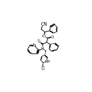 N#CCC(OC(=O)C(C(=O)N(CC1=CNC(Cl)C=C1)c1ccccn1)c1ccccc1)c1ccccc1